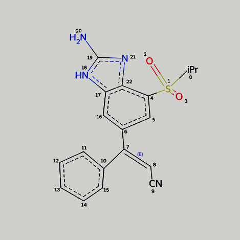 CC(C)S(=O)(=O)c1cc(/C(=C/C#N)c2ccccc2)cc2[nH]c(N)nc12